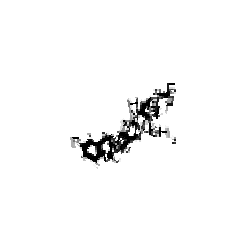 [C-]#[N+]c1ccc(F)cc1Cn1ncc2cnc(Nc3cn(CC(F)F)nc3OC)nc21